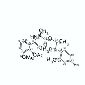 COc1ccnc(C(=O)N[C@@H](C)C(=O)OC(C)C(C)c2ccc(F)cc2C)c1OC(C)=O